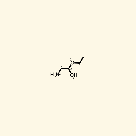 CCOC(O)CN